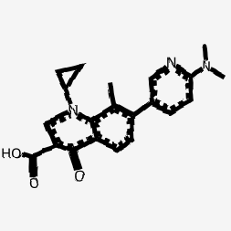 Cc1c(-c2ccc(N(C)C)nc2)ccc2c(=O)c(C(=O)O)cn(C3CC3)c12